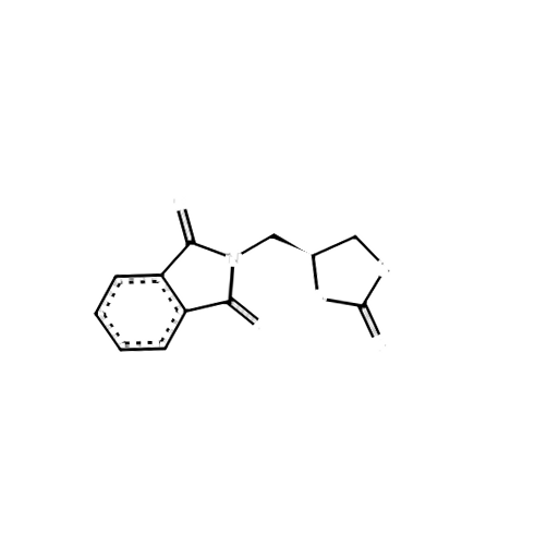 O=C1NC[C@H](CN2C(=O)c3ccccc3C2=O)O1